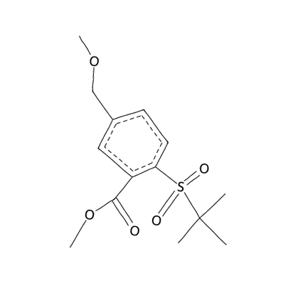 COCc1ccc(S(=O)(=O)C(C)(C)C)c(C(=O)OC)c1